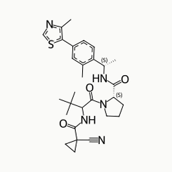 Cc1cc(-c2scnc2C)ccc1[C@H](C)NC(=O)[C@@H]1CCCN1C(=O)C(NC(=O)C1(C#N)CC1)C(C)(C)C